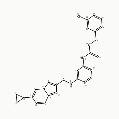 O=C(Nc1cc(NCc2cn3cc(C4CC4)ccc3n2)ncn1)OCc1cccc(Cl)c1